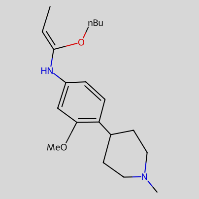 C/C=C(/Nc1ccc(C2CCN(C)CC2)c(OC)c1)OCCCC